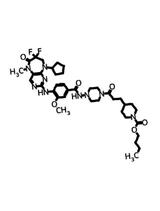 CCCCOC(=O)N1CCC(CCC(=O)N2CCN(NC(=O)c3ccc(Nc4ncc5c(n4)N(C4CCCC4)CC(F)(F)C(=O)N5C)c(OC)c3)CC2)CC1